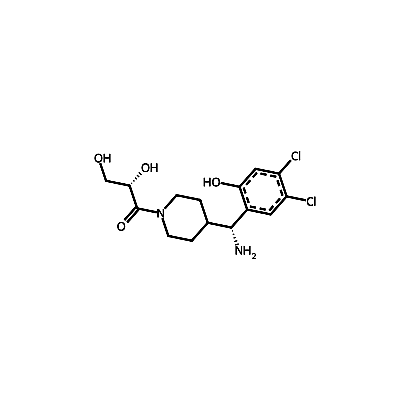 N[C@@H](c1cc(Cl)c(Cl)cc1O)C1CCN(C(=O)[C@@H](O)CO)CC1